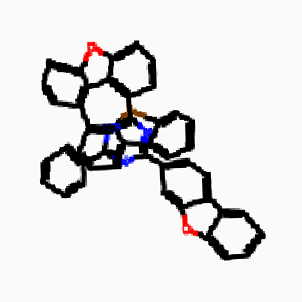 c1ccc(-c2nc(-c3ccc4c(c3)oc3ccccc34)nc(-c3cccc4oc5cccc(-c6cccc7c6sc6ccccc67)c5c34)n2)cc1